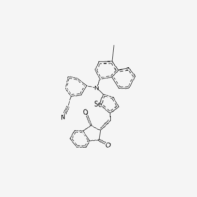 Cc1ccc(N(c2cccc(C#N)c2)c2ccc(C=C3C(=O)c4ccccc4C3=O)[se]2)c2ccccc12